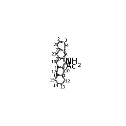 CC(N)=O.c1ccc2cc3cc4cc5ccccc5cc4cc3cc2c1